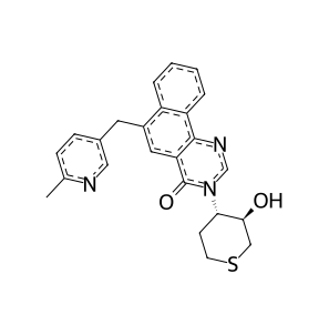 Cc1ccc(Cc2cc3c(=O)n([C@H]4CCSC[C@@H]4O)cnc3c3ccccc23)cn1